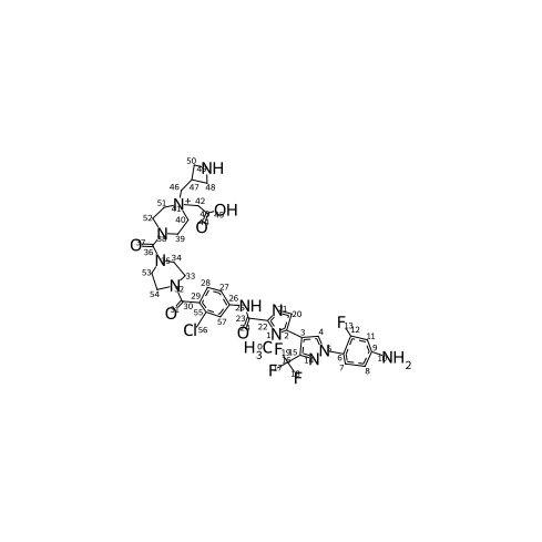 Cn1c(-c2cn(-c3ccc(N)cc3F)nc2C(F)(F)F)cnc1C(=O)Nc1ccc(C(=O)N2CCN(C(=O)N3CC[N+](CC(=O)O)(CC4CNC4)CC3)CC2)c(Cl)c1